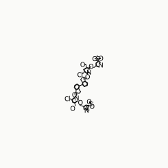 CS(=O)(=O)c1cncc(COc2nc(O[C@H]3CCc4c(-c5cccc6c5CC[C@@H]6Oc5nc(OCc6cncc(S(C)(=O)=O)c6)c(C=O)cc5Cl)cccc43)c(Cl)cc2C=O)c1